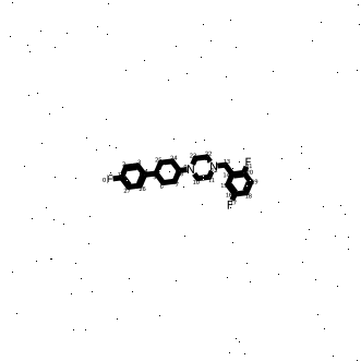 Fc1ccc(C2CCC(N3CCN(Cc4cc(F)ccc4F)CC3)CC2)cc1